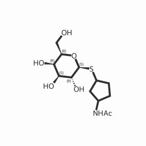 CC(=O)NC1CCC(S[C@@H]2O[C@H](CO)[C@H](O)[C@H](O)[C@H]2O)C1